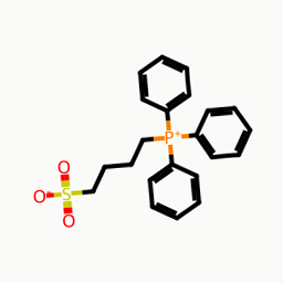 O=S(=O)([O-])CCCC[P+](c1ccccc1)(c1ccccc1)c1ccccc1